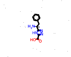 N[C@@H](Cc1ccccc1)c1nnc(C(=O)O)[nH]1